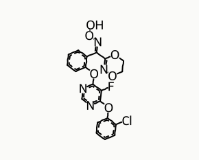 OO/N=C(/C1=NOCCO1)c1ccccc1Oc1ncnc(Oc2ccccc2Cl)c1F